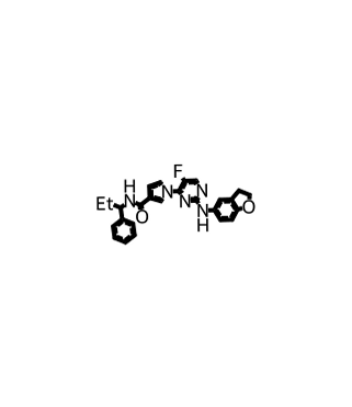 CCC(NC(=O)c1ccn(-c2nc(Nc3ccc4c(c3)CCO4)ncc2F)c1)c1ccccc1